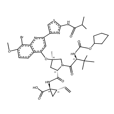 C=C[C@@H]1C[C@]1(NC(=O)[C@@H]1C[C@@](C)(Oc2cc(-c3csc(NC(=O)C(C)C)n3)nc3c(Br)c(OC)ccc23)CN1C(=O)[C@@H](NC(=O)OC1CCCC1)C(C)(C)C)C(=O)O